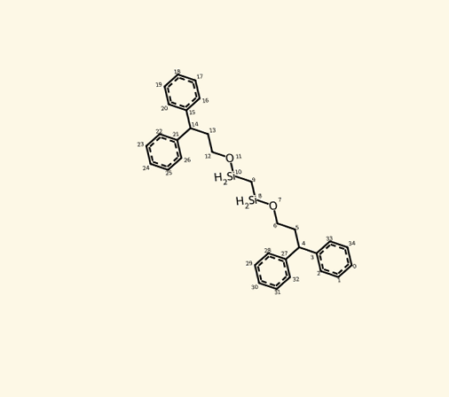 c1ccc(C(CCO[SiH2]C[SiH2]OCCC(c2ccccc2)c2ccccc2)c2ccccc2)cc1